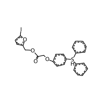 O=C(COc1ccc([SH](c2ccccc2)c2ccccc2)cc1)OCc1ccc(I)o1